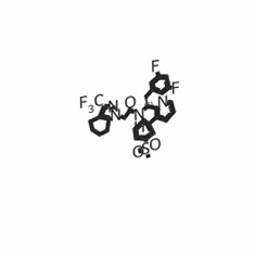 CS(=O)(=O)c1cccc(-c2cccnc2[C@H](Cc2cc(F)cc(F)c2)NC(=O)Cn2nc(C(F)(F)F)c3c2CCCC3)c1